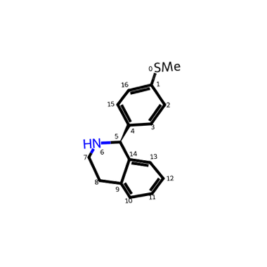 CSc1ccc([C@@H]2NCCc3ccccc32)cc1